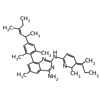 CC/C(C)=C\C(C)c1cc(C)c(-c2cc(C)cc3c(N)nc(NC4=NC(C)/C(=C(/C)CC)C=C4)nc23)c(C)c1